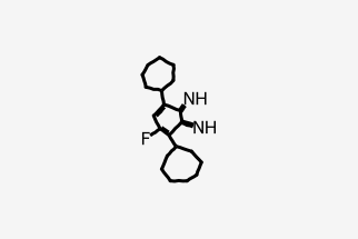 N=C1C(=N)C(C2CCCCCCC2)=C(F)C=C1C1CCCCCC1